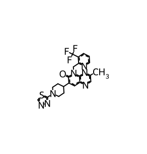 Cc1cnc2cc(C3CCN(c4nncs4)CC3)c(=O)n(Cc3ncccc3C(F)(F)F)c2n1